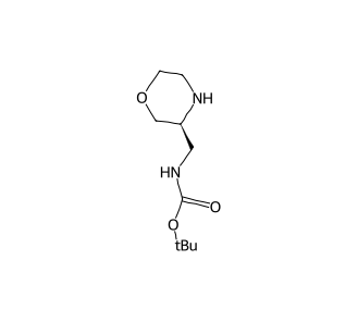 CC(C)(C)OC(=O)NC[C@H]1COCCN1